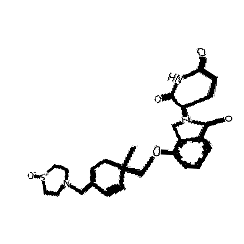 CC1(COc2cccc3c2CN(C2CCC(=O)NC2=O)C3=O)C=CC(CN2CC[S+]([O-])CC2)=CC1